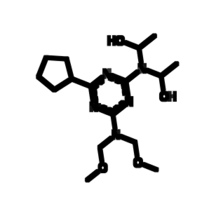 COCN(COC)c1nc(C2CCCC2)nc(N(C(C)O)C(C)O)n1